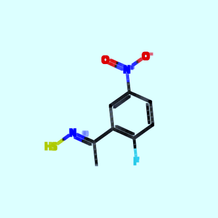 C/C(=N\S)c1cc([N+](=O)[O-])ccc1F